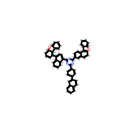 c1ccc2cc(-c3ccc(-c4nc(-c5ccc6c(ccc7oc8ccccc8c76)c5)nc(-c5ccc(-c6cccc7oc8ccccc8c67)c6ccccc56)n4)cc3)ccc2c1